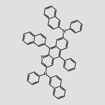 c1ccc(-c2c3ccc(N(c4ccccc4)c4ccc5ccccc5c4)cc3c(-c3ccc4ccccc4c3)c3ncc(N(c4ccccc4)c4ccc5ccccc5c4)cc23)cc1